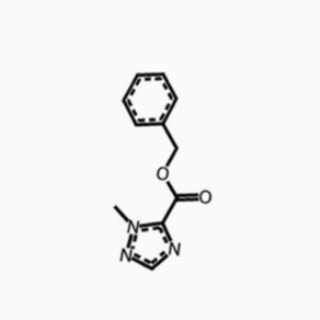 Cn1ncnc1C(=O)OCc1ccccc1